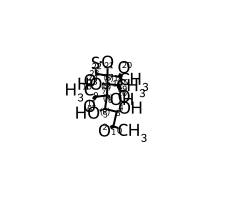 CC(=O)C(O)[C@@H](O)[C@](O)(C(C)=O)[C@@](O)(C(C)=O)[C@@]1(C(C)=O)OSC1=O